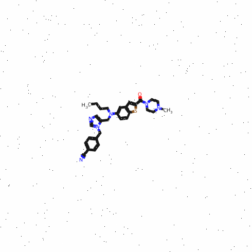 CCCCN(Cc1cncn1Cc1ccc(C#N)cc1)c1ccc2sc(C(=O)N3CCN(C)CC3)cc2c1